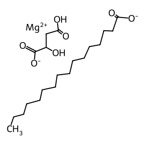 CCCCCCCCCCCCCCCC(=O)[O-].O=C(O)CC(O)C(=O)[O-].[Mg+2]